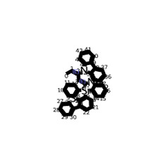 C/C=C(\C=C(/N)[Si](c1ccccc1)(c1ccccc1)c1cccc2c1sc1ccccc12)n1c2ccccc2c2ccccc21